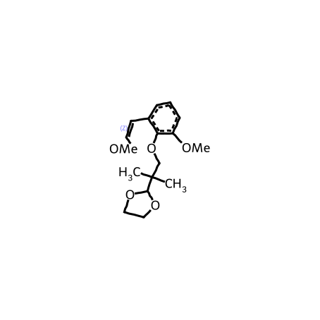 CO/C=C\c1cccc(OC)c1OCC(C)(C)C1OCCO1